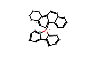 c1ccc2c(c1)ccc1c3c(ccc12)CCCC3.c1ccc2c(c1)oc1ccccc12